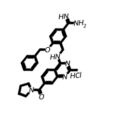 Cc1nc(NCc2cc(C(=N)N)ccc2OCc2ccccc2)c2ccc(C(=O)N3CCCC3)cc2n1.Cl